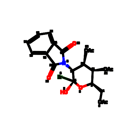 CC(=O)OC[C@H]1O[C@@](O)(Br)[C@H](N2C(=O)c3ccccc3C2=O)[C@@H](OC(C)=O)[C@H]1OC(C)=O